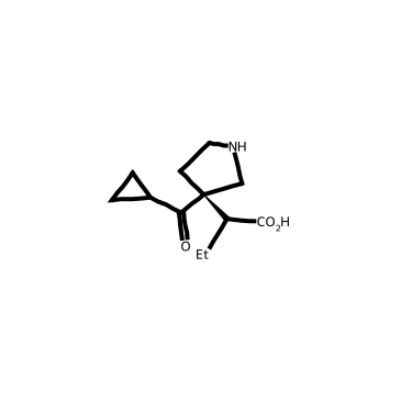 CCC(C(=O)O)[C@@]1(C(=O)C2CC2)CCNC1